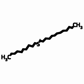 CCCCCCCCCCCC[CH]SCCCCCCCCCC